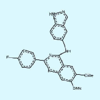 COc1cc2nc(-c3ccc(F)cc3)nc(Nc3ccc4[nH]ncc4c3)c2cc1OC